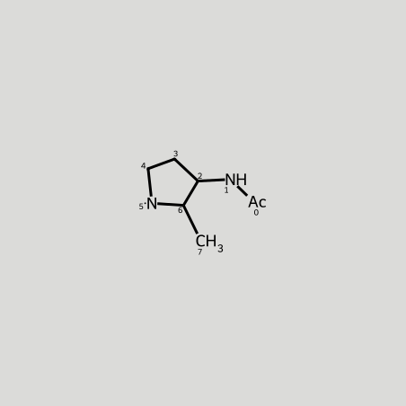 CC(=O)NC1CC[N]C1C